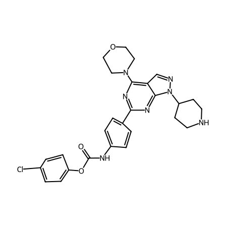 O=C(Nc1ccc(-c2nc(N3CCOCC3)c3cnn(C4CCNCC4)c3n2)cc1)Oc1ccc(Cl)cc1